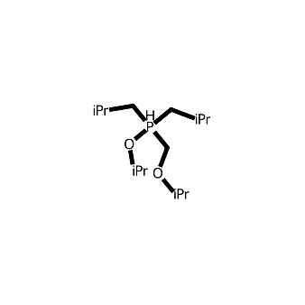 CC(C)C[PH](COC(C)C)(CC(C)C)OC(C)C